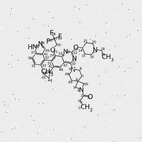 C=CC(=O)N1CC2(CCN(c3nc(OC4CCN(CC)CC4)nc4c(OCC(F)(F)F)c(-c5c(C)ccc6[nH]ncc56)c(C5CC5)cc34)CC2)C1